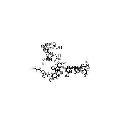 CCCCCOC(=O)COc1cc(N2C(=O)C3=C(CCCC3)C2=O)c(F)cc1Cl.CCNc1nc(Cl)nc(NC(C)C)n1.COc1cc(OC)nc(NC(=O)NS(=O)(=O)c2ncccc2C(=O)N(C)C)n1.O=C(O)CNCP(=O)(O)O